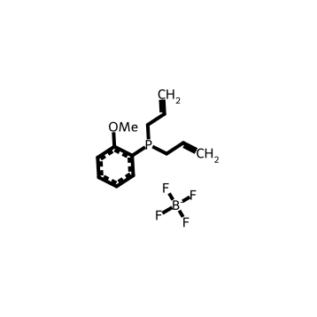 C=CCP(CC=C)c1ccccc1OC.F[B-](F)(F)F